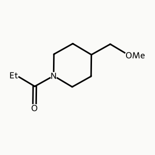 CCC(=O)N1CCC(COC)CC1